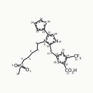 CS(=O)(=O)CCCCCn1c(Sc2nc(C(F)(F)F)c(C(=O)O)s2)nnc1-c1cccs1